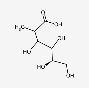 CC(C(=O)O)C(O)C(O)[C@H](O)CO